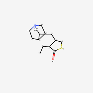 CCC1C(=O)SCC1CC1CN2CCC1CC2